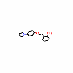 Oc1ccccc1CCOc1ccc(-n2cccc2)cc1